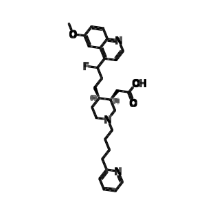 COc1ccc2nccc(C(F)CC[C@@H]3CCN(CCCCc4ccccn4)C[C@@H]3CC(=O)O)c2c1